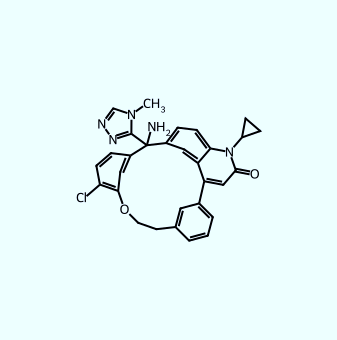 Cn1cnnc1C1(N)c2ccc(Cl)c(c2)OCCc2cccc(c2)-c2cc(=O)n(C3CC3)c3ccc1cc23